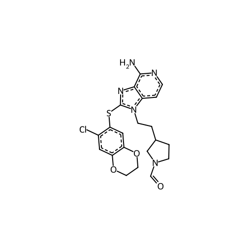 Nc1nccc2c1nc(Sc1cc3c(cc1Cl)OCCO3)n2CCC1CCN(C=O)C1